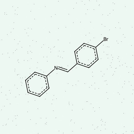 Brc1ccc(/C=N/c2ccccc2)cc1